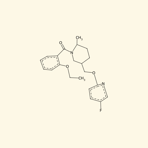 CCOc1ccccc1C(=O)N1CC(COc2ccc(F)cn2)CCC1C